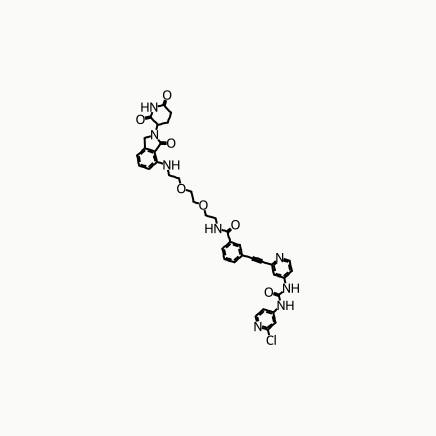 O=C1CCC(N2Cc3cccc(NCCOCCOCCNC(=O)c4cccc(C#Cc5cc(NC(=O)Nc6ccnc(Cl)c6)ccn5)c4)c3C2=O)C(=O)N1